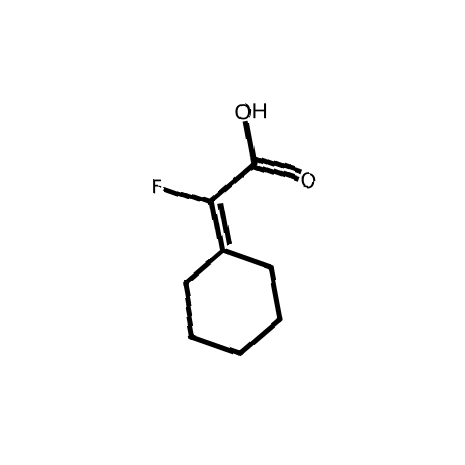 O=C(O)C(F)=C1CCCCC1